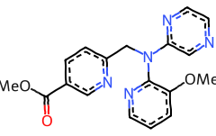 COC(=O)c1ccc(CN(c2cnccn2)c2ncccc2OC)nc1